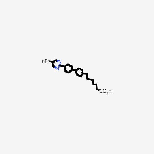 CCCc1cnc(-c2ccc(-c3ccc(CCCCCCC(=O)O)cc3)cc2)nc1